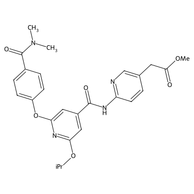 COC(=O)Cc1ccc(NC(=O)c2cc(Oc3ccc(C(=O)N(C)C)cc3)nc(OC(C)C)c2)nc1